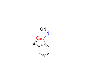 O=NNc1obc2ccccc12